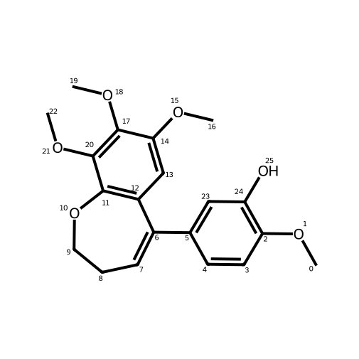 COc1ccc(C2=CCCOc3c2cc(OC)c(OC)c3OC)cc1O